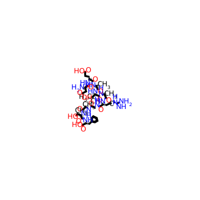 CC(C)[C@H](NC(=O)[C@H](C)NC(=O)[C@H](CCC(=O)O)NC(=O)[C@@H](N)CC(=O)O)C(=O)N[C@@H](C)C(=O)N[C@@H](CCCNC(=N)N)C(=O)NCC(=O)N[C@@H](C)C(=O)N[C@H](C(=O)N[C@@H](Cc1ccccc1)C(=O)O)[C@@H](C)O